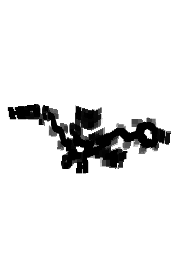 Br.Br.CC(C)n1c(CCC2CCNCC2)nc2c(=O)n(CCCCC(=O)O)c(=O)[nH]c21